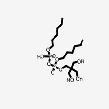 CCCCCCOP(=O)(O)OP(=O)(OCCCCCC)OCC(CO)(CO)CO